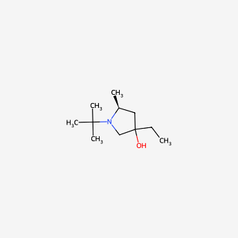 CCC1(O)C[C@H](C)N(C(C)(C)C)C1